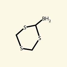 BC1SCSCS1